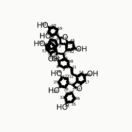 Oc1ccc(C2Oc3ccc(/C=C/c4cc(O)cc5c4[C@H](c4cc(O)cc(O)c4)[C@@H](c4ccc(O)cc4)O5)cc3[C@@H]2c2cc(O)cc3c2[C@H](c2cc(O)cc(O)c2)C(c2ccc(O)cc2)O3)cc1